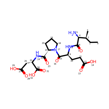 CC[C@H](C)[C@H](N)C(=O)N[C@@H](CCC(=O)O)C(=O)N1CCC[C@H]1C(=O)N[C@@H](CC(=O)O)C(=O)O